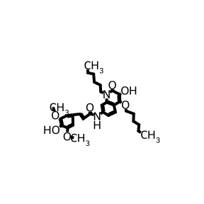 CCCCCCOc1c(O)c(=O)n(CCCCCC)c2cc(NC(=O)/C=C/c3cc(OC)c(O)c(OC)c3)ccc12